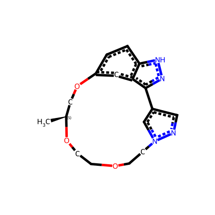 C[C@H]1COc2ccc3[nH]nc(c3c2)-c2cnn(c2)CCOCCO1